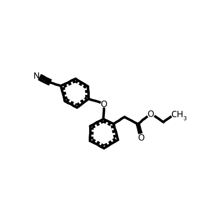 CCOC(=O)Cc1ccccc1Oc1ccc(C#N)cc1